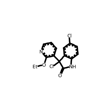 CCOc1ncccc1C1(Cl)C(=O)Nc2ccc(Cl)cc21